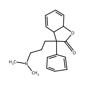 CN(C)CCCC1(c2ccccc2)C(=O)OC2C=CC=CC21